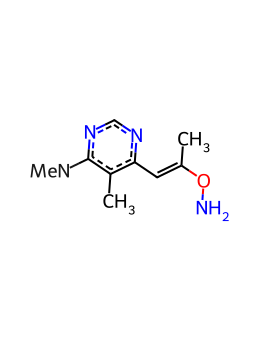 CNc1ncnc(/C=C(\C)ON)c1C